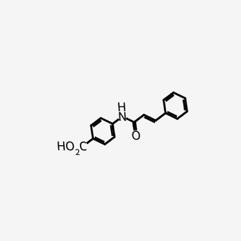 O=C(C=Cc1ccccc1)Nc1ccc(C(=O)O)cc1